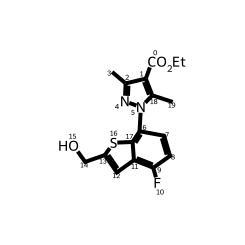 CCOC(=O)c1c(C)nn(-c2ccc(F)c3cc(CO)sc23)c1C